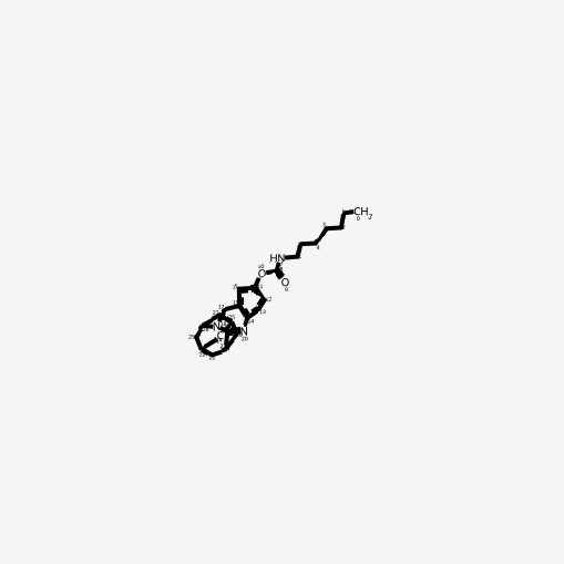 CCCCCCCNC(=O)Oc1ccc2c(c1)CN1C(=N2)C2CC3CC(C2)CC1C3